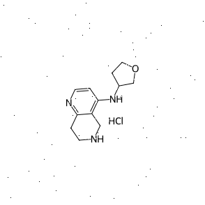 Cl.c1cc(NC2CCOC2)c2c(n1)CCNC2